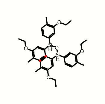 CCOc1cc([SiH](O[SiH](c2ccc(C)c(OCC)c2)c2ccc(C)c(OCC)c2)c2ccc(C)c(OCC)c2)ccc1C